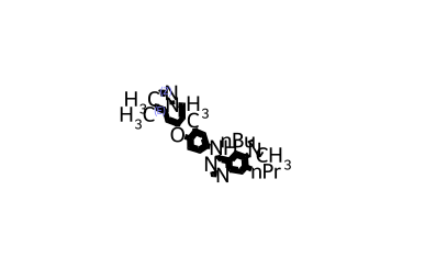 C/C=N\N1C=CC(Oc2ccc(Nc3ncnc4cc(CCC)c(N(C)CCCC)cc34)cc2C)=C/C1=C\C